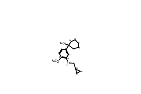 COc1ccc(C2(C#N)CCCCC2)cc1OCC1CC1